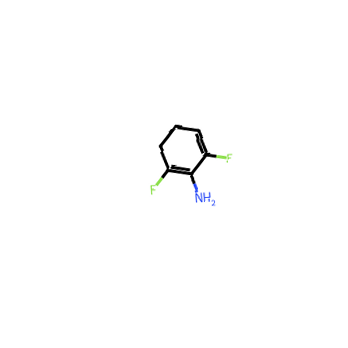 NC1=C(F)CCC=C1F